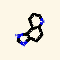 [c]1nc2ccc3ncccc3c2[nH]1